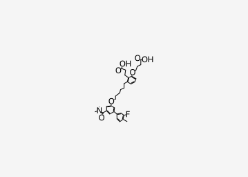 Cc1ccc(-c2cc(OCCCCCCc3cccc(OCCCC(=O)O)c3CCC(=O)O)cc(C(=O)N(C)C)c2)cc1F